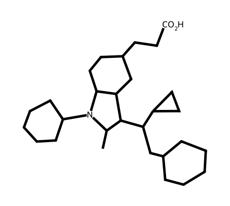 CC1C(C(CC2CCCCC2)C2CC2)C2CC(CCC(=O)O)CCC2N1C1CCCCC1